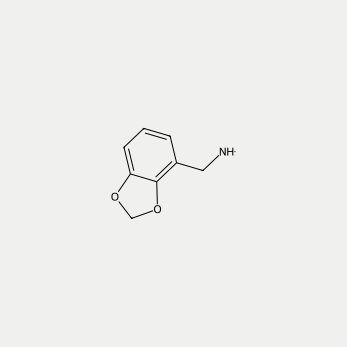 [NH]Cc1cccc2c1OCO2